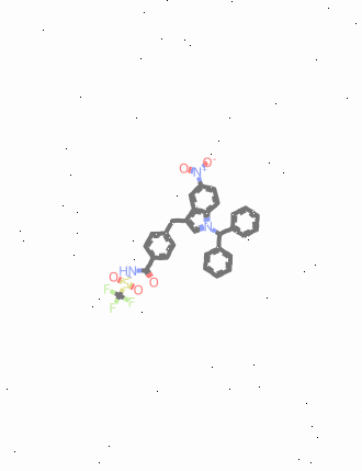 O=C(NS(=O)(=O)C(F)(F)F)c1ccc(Cc2cn(C(c3ccccc3)c3ccccc3)c3ccc([N+](=O)[O-])cc23)cc1